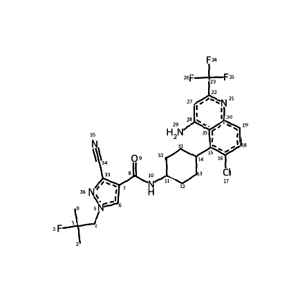 CC(C)(F)Cn1cc(C(=O)NC2CCC(c3c(Cl)ccc4nc(C(F)(F)F)cc(N)c34)CC2)c(C#N)n1